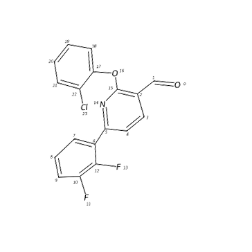 O=Cc1ccc(-c2cccc(F)c2F)nc1Oc1ccccc1Cl